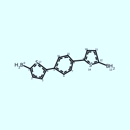 Bc1ccc(-c2ccc(-c3ccc(B)s3)cc2)s1